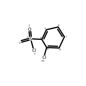 C=S(=O)(Cl)c1ccccc1Cl